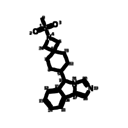 CS(=O)(=O)N1CC2(CCC(C3c4ccccc4-c4cncn43)CC2)C1